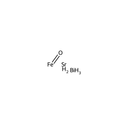 [BiH3].[O]=[Fe].[SrH2]